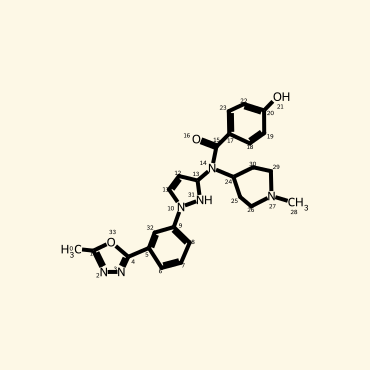 Cc1nnc(-c2cccc(N3C=CC(N(C(=O)c4ccc(O)cc4)C4CCN(C)CC4)N3)c2)o1